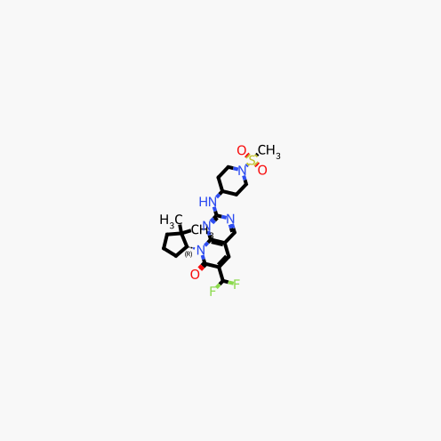 CC1(C)CCC[C@H]1n1c(=O)c(C(F)F)cc2cnc(NC3CCN(S(C)(=O)=O)CC3)nc21